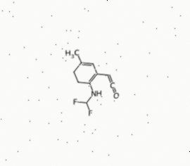 CC1=CC(C=C=O)=C(NC(F)F)CC1